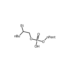 CCCCCOP(=O)(O)OCC(CC)CCCC